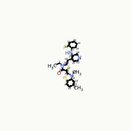 CCn1c(=O)/c(=C2\Sc3ccc(C)cc3N2C)s/c1=C\c1ccncc1Nc1ccccc1F